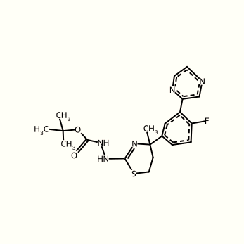 CC(C)(C)OC(=O)NNC1=NC(C)(c2ccc(F)c(-c3cnccn3)c2)CCS1